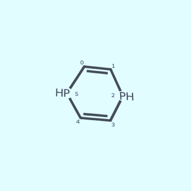 C1=CPC=CP1